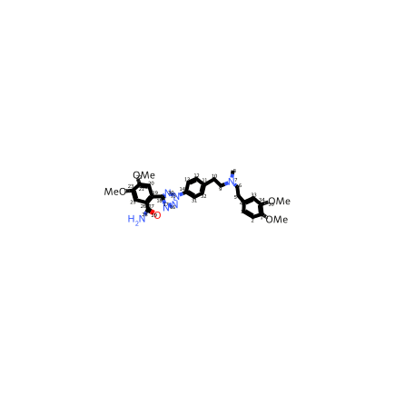 COc1ccc(CCN(C)CCc2ccc(-n3nnc(-c4cc(OC)c(OC)cc4C(N)=O)n3)cc2)cc1OC